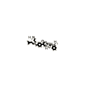 Cc1ccccc1NC(=O)Nc1nc(=O)c(-c2ccc(CN(CCCN)CCC3CC3)cc2)c[nH]1